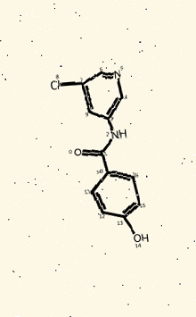 O=C(Nc1cncc(Cl)c1)c1ccc(O)cc1